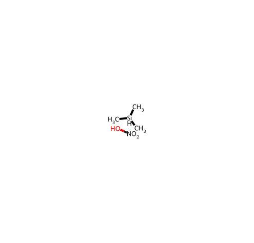 C[SiH](C)C.O=[N+]([O-])O